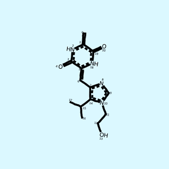 C=c1[nH]c(=O)c(=Cc2ncn(CCO)c2C(C)C)[nH]c1=O